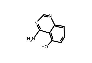 Nc1ncnc2cccc(O)c12